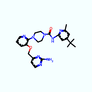 Cc1cc(C(C)(C)C)cc(NC(=O)N2CCN(c3ncccc3OCc3ccnc(N)n3)CC2)n1